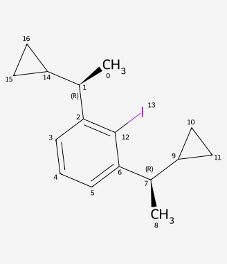 C[C@@H](c1cccc([C@H](C)C2CC2)c1I)C1CC1